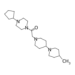 CC1CCN(C2CCN(CC(=O)N3CCN(C4CCCC4)CC3)CC2)CC1